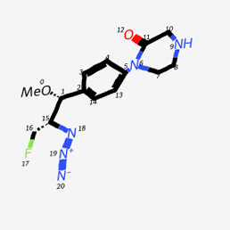 CO[C@H](c1ccc(N2CCNCC2=O)cc1)[C@@H](CF)N=[N+]=[N-]